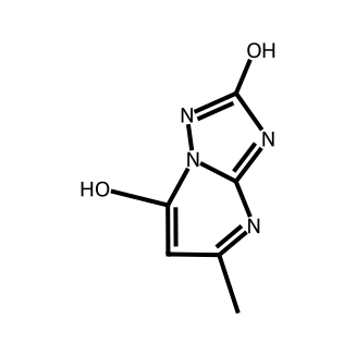 Cc1cc(O)n2nc(O)nc2n1